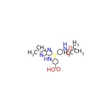 CC(C)c1cc2nccc(Nc3cc(C(=O)O)ccc3Sc3ccc(NC(=O)OC(C)(C)C)cc3)c2cn1